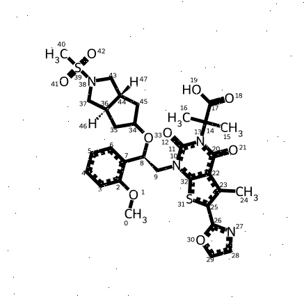 COc1ccccc1[C@H](Cn1c(=O)n(C(C)(C)C(=O)O)c(=O)c2c(C)c(-c3ncco3)sc21)OC1C[C@H]2CN(S(C)(=O)=O)C[C@@H]2C1